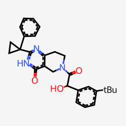 CC(C)(C)c1cccc(C(O)C(=O)N2CCc3nc(C4(c5ccccc5)CC4)[nH]c(=O)c3C2)c1